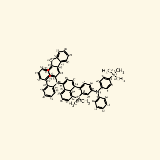 C[Si](C)(C)c1ccc(N(c2ccccc2)c2ccc3c(c2)[Si](C)(C)c2cccc4c(N(c5ccc6sc7ccccc7c6c5)c5ccccc5-c5ccccc5)ccc-3c24)cc1